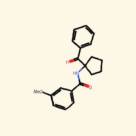 COc1cccc(C(=O)NC2(C(=O)c3ccccc3)CCCC2)c1